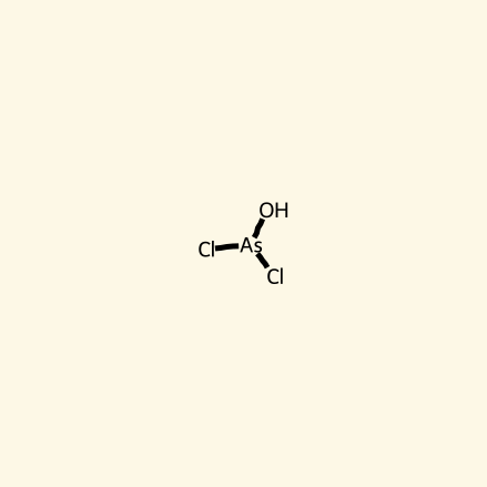 O[As](Cl)Cl